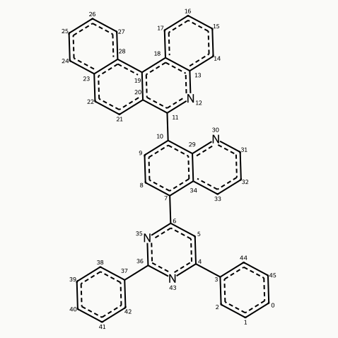 c1ccc(-c2cc(-c3ccc(-c4nc5ccccc5c5c4ccc4ccccc45)c4ncccc34)nc(-c3ccccc3)n2)cc1